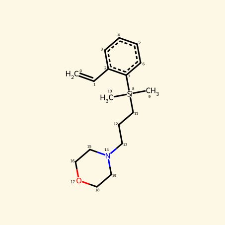 C=Cc1ccccc1[Si](C)(C)CCCN1CCOCC1